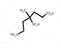 [CH2]C(CCS(=O)(=O)O)(CCS(=O)(=O)O)S(=O)(=O)O